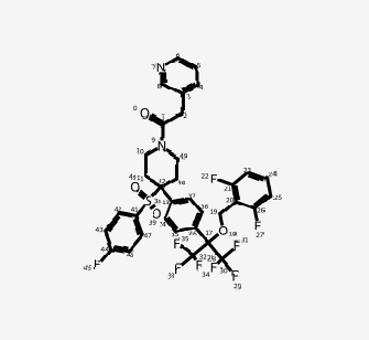 O=C(Cc1cccnc1)N1CCC(c2ccc(C(OCc3c(F)cccc3F)(C(F)(F)F)C(F)(F)F)cc2)(S(=O)(=O)c2ccc(F)cc2)CC1